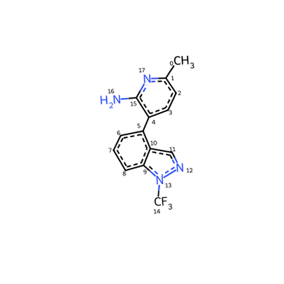 Cc1ccc(-c2cccc3c2cnn3C(F)(F)F)c(N)n1